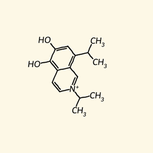 CC(C)c1cc(O)c(O)c2cc[n+](C(C)C)cc12